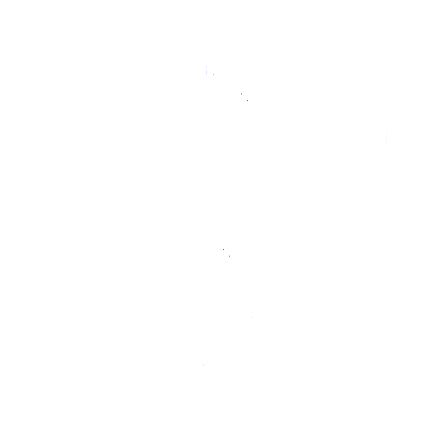 CC1(C)CCc2sc(NC(=O)c3ccc(Cl)cc3CNN)c(C(=O)O)c2C1